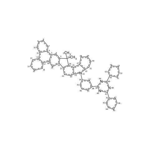 CC1(C)c2cc3c4ccccc4c4ccccc4c3cc2-c2ccc3c(c21)c1ccccc1n3-c1cccc(-c2nc(-c3ccccc3)nc(-c3ccccc3)n2)c1